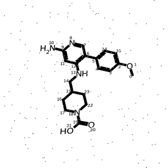 COc1ccc(-c2cnc(N)cc2NCC2CCN(C(=O)O)CC2)cc1